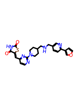 O=C1NC(=O)C(=Cc2ccnc(N3CCC(CNCc4ccc(-c5ccoc5)nc4)CC3)n2)S1